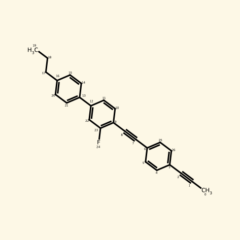 CC#Cc1ccc(C#Cc2ccc(-c3ccc(CCC)cc3)cc2F)cc1